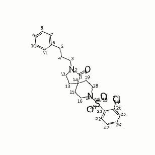 O=C1N(CCCc2ccccc2)CCC12CCN(S(=O)(=O)c1ccccc1Cl)CC2